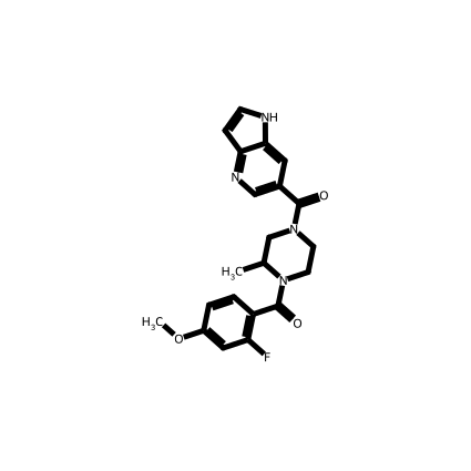 COc1ccc(C(=O)N2CCN(C(=O)c3cnc4cc[nH]c4c3)CC2C)c(F)c1